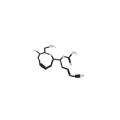 C#CC=CCC(OC(C)=O)C1C/C=C\CC(Br)C(CC)O1